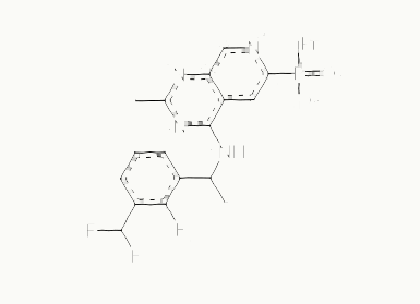 Cc1nc(NC(C)c2cccc(C(F)F)c2F)c2cc(P(=O)(C(C)C)C(C)C)ncc2n1